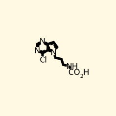 O=C(O)NCCCn1ccc2ncnc(Cl)c21